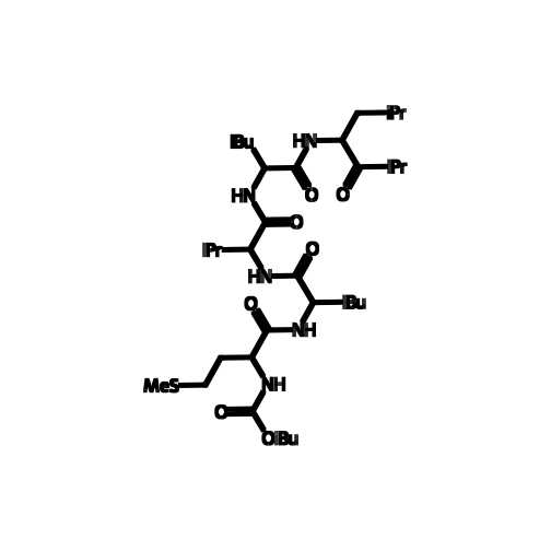 CCC(C)C(NC(=O)C(CCSC)NC(=O)OCC(C)C)C(=O)NC(C(=O)NC(C(=O)NC(CC(C)C)C(=O)C(C)C)C(C)CC)C(C)C